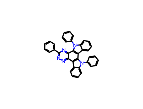 c1ccc(-c2nnc3c(n2)c2c(c4ccccc4n2-c2ccccc2)c2c3c3ccccc3n2-c2ccccc2)cc1